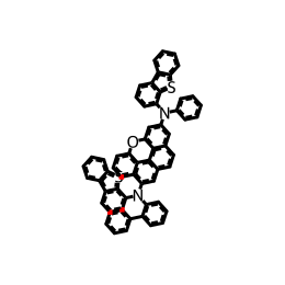 c1ccc(-c2ccccc2N(c2cc3ccc4cc(N(c5ccccc5)c5cccc6c5sc5ccccc56)cc5c4c3c3c(cccc23)O5)c2cccc3c2sc2ccccc23)cc1